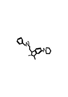 CC1c2cc(N3CCCCC3)ccc2C(CCN(C)Cc2ccccc2)[C@@H]1C